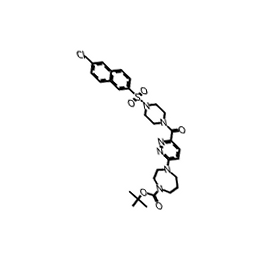 CC(C)(C)OC(=O)N1CCCN(c2ccc(C(=O)N3CCN(S(=O)(=O)c4ccc5cc(Cl)ccc5c4)CC3)nn2)CC1